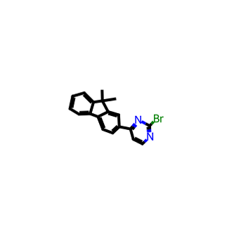 CC1(C)c2ccccc2-c2ccc(-c3ccnc(Br)n3)cc21